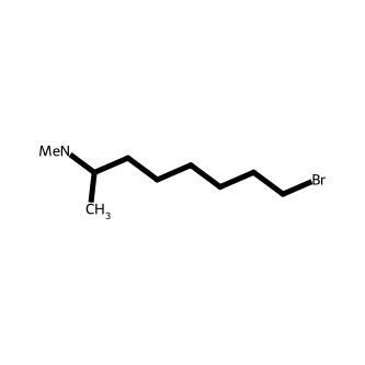 CNC(C)CCCCCCBr